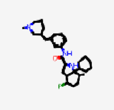 CC1CCC(F)C2CC(C(=O)Nc3cccc(CC4CCCN(C)C4)c3)NC12C1CCCCC1